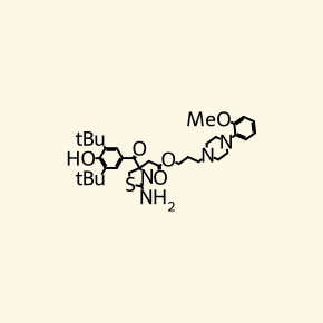 COc1ccccc1N1CCN(CCCOC(=O)CC2(C(=O)c3cc(C(C)(C)C)c(O)c(C(C)(C)C)c3)CSC(N)=N2)CC1